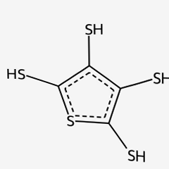 Sc1sc(S)c(S)c1S